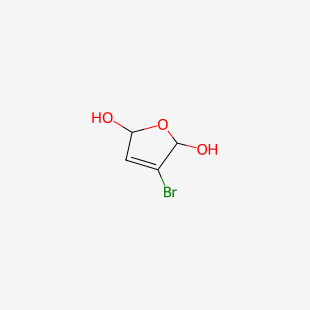 OC1C=C(Br)C(O)O1